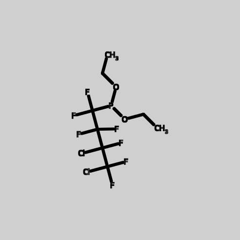 CCOP(OCC)C(F)(F)C(F)(F)C(F)(Cl)C(F)(F)Cl